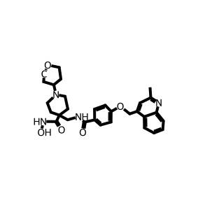 Cc1cc(COc2ccc(C(=O)NCC3(C(=O)NO)CCN(C4CCOCC4)CC3)cc2)c2ccccc2n1